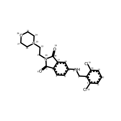 O=C1c2ccc(NCc3c(Cl)cccc3Cl)cc2C(=O)N1CCN1CCOCC1